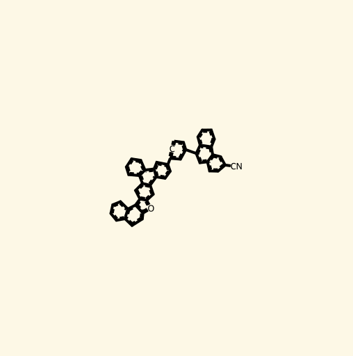 N#Cc1ccc2cc(-c3cccc(-c4ccc5c(c4)c4ccccc4c4cc6c(cc54)oc4ccc5ccccc5c46)c3)c3ccccc3c2c1